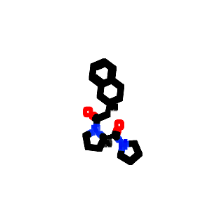 O=C([C@@H]1CCCN1C(=O)C[C@@H]1CCc2ccccc2C1)N1CCCC1